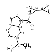 CC(C)N1CCC2CCN(C(=O)[C@@H]3N[C@H]3C3CC3)C2C1